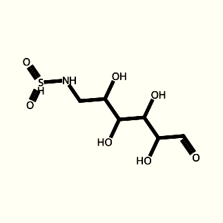 O=CC(O)C(O)C(O)C(O)CN[SH](=O)=O